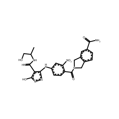 CC(CO)NC(=N)c1c(O)nsc1Nc1ccc(C(=O)N2Cc3ccc(C(N)=O)cc3C2)c([N+](=O)[O-])c1